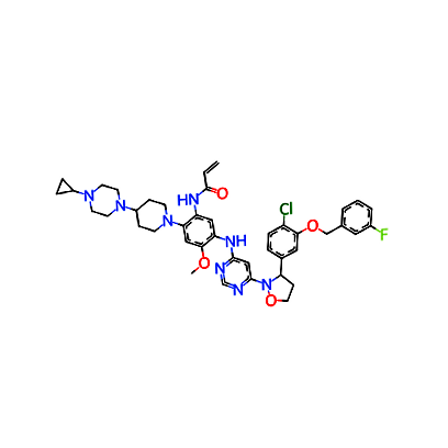 C=CC(=O)Nc1cc(Nc2cc(N3OCCC3c3ccc(Cl)c(OCc4cccc(F)c4)c3)ncn2)c(OC)cc1N1CCC(N2CCN(C3CC3)CC2)CC1